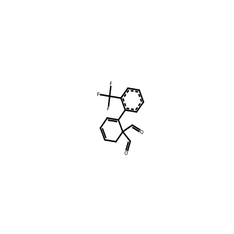 O=CC1(C=O)CC=CC=C1c1ccccc1C(F)(F)F